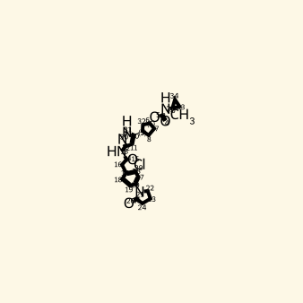 CC1(NC(=O)O[C@H]2CC[C@H](c3cc(NC(=O)Cc4ccc(N5CCCC5=O)cc4Cl)n[nH]3)C2)CC1